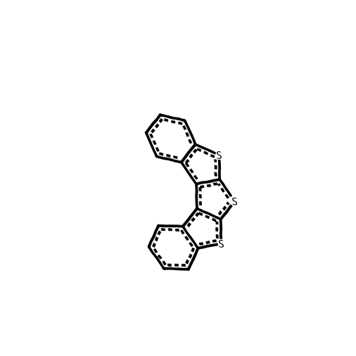 c1ccc2c(c1)sc1sc3sc4ccccc4c3c12